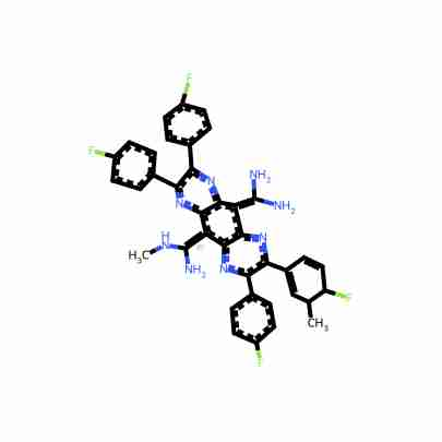 CN/C(N)=c1/c2nc(-c3ccc(F)cc3)c(C3=CC(C)C(F)C=C3)nc2c(=C(N)N)c2nc(-c3ccc(F)cc3)c(-c3ccc(F)cc3)nc12